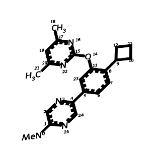 CNc1cnc(-c2ccc(C3CCC3)c(Oc3nc(C)cc(C)n3)c2)cn1